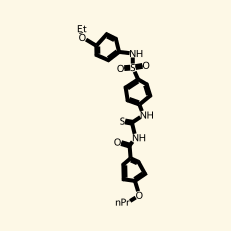 CCCOc1ccc(C(=O)NC(=S)Nc2ccc(S(=O)(=O)Nc3ccc(OCC)cc3)cc2)cc1